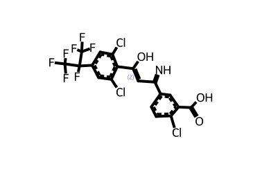 N=C(/C=C(\O)c1c(Cl)cc(C(F)(C(F)(F)F)C(F)(F)F)cc1Cl)c1ccc(Cl)c(C(=O)O)c1